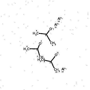 CC(C)[O-].CC(C)[O-].CC(C)[O-].[Al+].[Al+].[Al+]